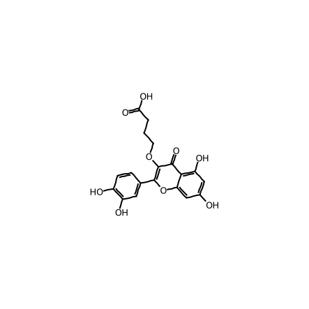 O=C(O)CCCOc1c(-c2ccc(O)c(O)c2)oc2cc(O)cc(O)c2c1=O